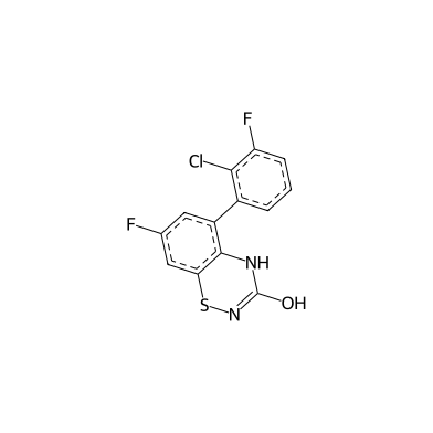 OC1=NSc2cc(F)cc(-c3cccc(F)c3Cl)c2N1